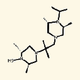 CC(C)N1[C@@H](C)CN(CC(C)(C)N2C[C@@H](C)N(S)[C@H](C)C2)C[C@@H]1C